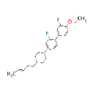 C/C=C/CCC1CCC(c2ccc(-c3ccc(OCC)c(F)c3)c(F)c2)CC1